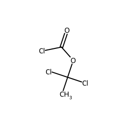 CC(Cl)(Cl)OC(=O)Cl